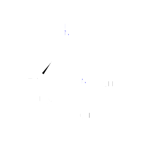 CC(C)N(C)[C@H]1CNC[C@@H]1C